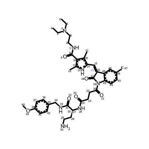 CCN(CC)CCNC(=O)c1c(C)[nH]c(/C=C2\C(=O)N(C(=O)CCC(=O)N[C@@H](CCN)C(=O)NCc3ccc(OC)cc3)c3ccc(F)cc32)c1C